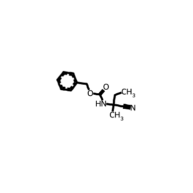 CCC(C)(C#N)NC(=O)OCc1ccccc1